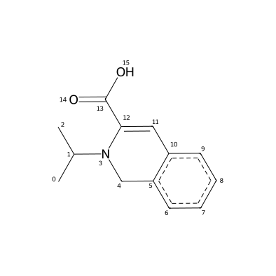 CC(C)N1Cc2ccccc2C=C1C(=O)O